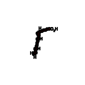 O=C(O)CCOCCOCCOCCOCCNc1ccc(C(=O)c2ccc(OCCCNC(=O)CCOCCOCCOCCOCCNC(=O)CCCCC3SCC4NC(=O)NC43)cc2)cc1